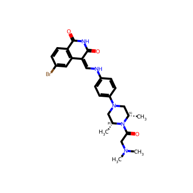 C[C@@H]1CN(c2ccc(NC=C3C(=O)NC(=O)c4ccc(Br)cc43)cc2)C[C@H](C)N1C(=O)CN(C)C